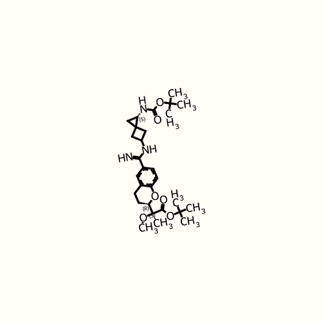 CO[C@](C)(C(=O)OC(C)(C)C)[C@H]1CCc2cc(C(=N)NC3CC4(C3)C[C@@H]4NC(=O)OC(C)(C)C)ccc2O1